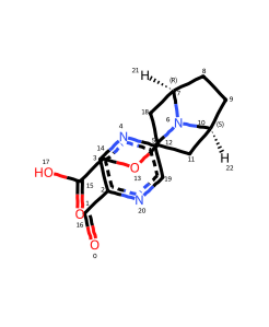 O=Cc1cnc(N2[C@@H]3CC[C@H]2CC(OCC(=O)O)C3)cn1